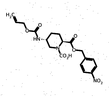 C=CCOC(=O)N[C@@H]1CC[C@@H](C(=O)OCc2ccc([N+](=O)[O-])cc2)N(C(=O)O)C1